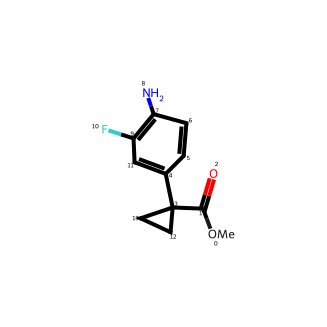 COC(=O)C1(c2ccc(N)c(F)c2)CC1